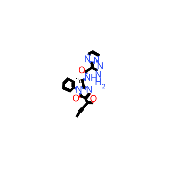 CC#Cc1coc2nc([C@H](C)NC(=O)c3c(N)nn4cccnc34)n(-c3ccccc3)c(=O)c12